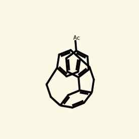 CC(=O)c1ccc(-c2cc3ccc2CCc2ccc(cc2)CC3)cc1